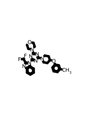 Cc1cccc(OC2CCN(c3nc(N4CCOCC4)nc(-n4c(C(F)F)nc5ccccc54)n3)CC2)c1